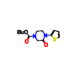 CC(C)COC(=O)N1CCN(c2cccs2)C(=O)C1